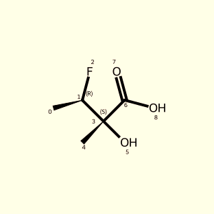 C[C@@H](F)[C@@](C)(O)C(=O)O